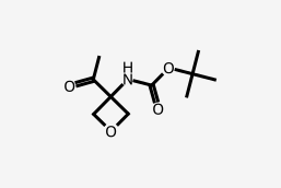 CC(=O)C1(NC(=O)OC(C)(C)C)COC1